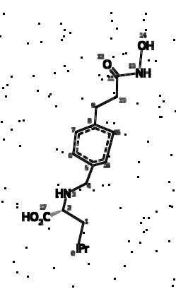 CC(C)C[C@@H](NCc1ccc(CCC(=O)NO)cc1)C(=O)O